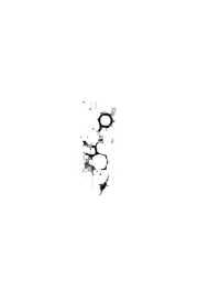 CC#CC[C@@H]1CCc2c(cn(C)c2C(=O)Nc2ccc(F)c(C#N)c2)S(=O)(=O)N1